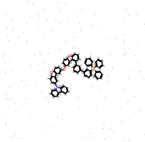 c1ccc(S(c2ccccc2)(c2ccccc2)c2cccc(-c3cccc(-c4cccc5oc6ccc(Oc7ccc8oc9ccc(-n%10c%11ccccc%11c%11ccccc%11%10)cc9c8c7)cc6c45)c3)c2)cc1